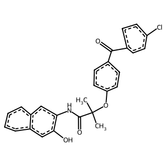 CC(C)(Oc1ccc(C(=O)c2ccc(Cl)cc2)cc1)C(=O)Nc1cc2ccccc2cc1O